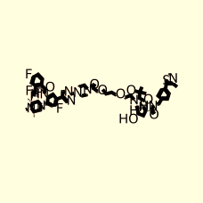 Cc1ncsc1-c1ccc(CNC(=O)[C@@H]2C[C@@H](O)CN2C(=O)[C@@H](NC(=O)COCCCOCC(=O)N2CCN(c3ncc(-c4cc(NC(=O)c5ccc(F)cc5C(F)(F)F)c(N5C[C@@H](C)N(C)[C@@H](C)C5)cc4F)cn3)CC2)C(C)(C)C)cc1